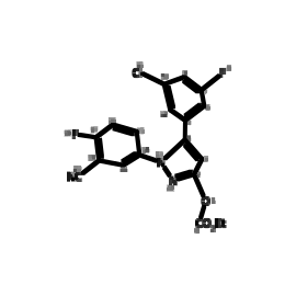 CCOC(=O)Oc1cc(-c2cc(F)cc(Cl)c2)n(-c2ccc(F)c(C#N)c2)n1